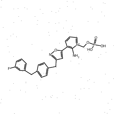 Nc1c(-c2cc(Cc3ccc(Cc4cccc(F)c4)cc3)no2)ccc[n+]1COP(=O)(O)O